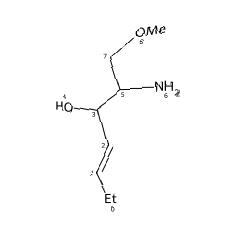 CCC=CC(O)C(N)COC